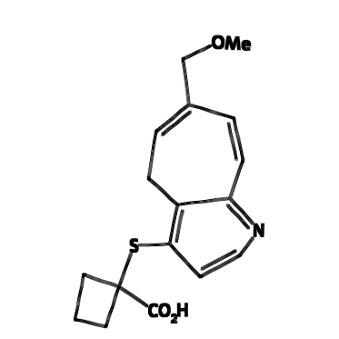 COCC1=CCc2c(SC3(C(=O)O)CCC3)ccnc2C=C1